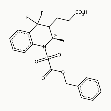 C[C@@H]1C(CCC(=O)O)C(F)(F)c2ccccc2N1S(=O)(=O)C(=O)OCc1ccccc1